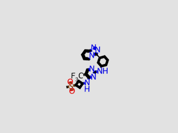 CS(=O)(=O)C1CC(Nc2nc(N[C@@H]3CCC[C@H](c4nnc5ccccn45)C3)ncc2C(F)(F)F)C1